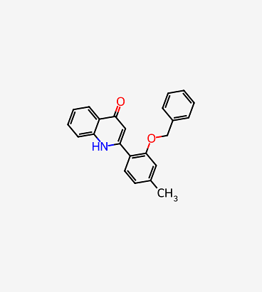 Cc1ccc(-c2cc(=O)c3ccccc3[nH]2)c(OCc2ccccc2)c1